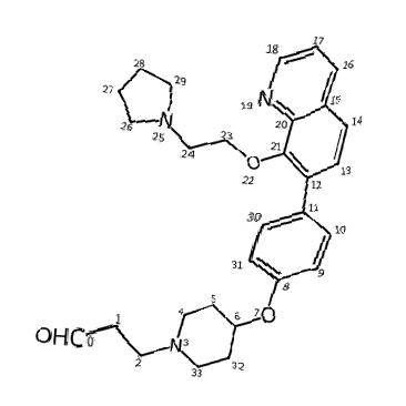 O=CCCN1CCC(Oc2ccc(-c3ccc4cccnc4c3OCCN3CCCC3)cc2)CC1